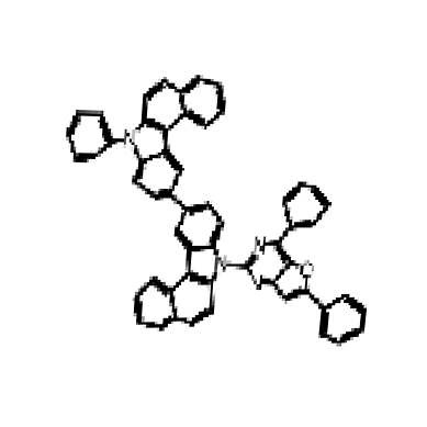 c1ccc(-c2cc3nc(-n4c5ccc(-c6ccc7c(c6)c6c8ccccc8ccc6n7-c6ccccc6)cc5c5c6ccccc6ccc54)nc(-c4ccccc4)c3o2)cc1